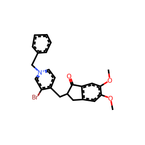 COc1cc2c(cc1OC)C(=O)C(Cc1cc[n+](Cc3ccccc3)cc1Br)C2